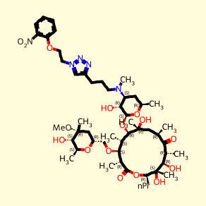 CCC[C@H]1OC(=O)[C@H](C)[C@@H](OC[C@H]2C[C@@](C)(OC)[C@@H](O)[C@H](C)O2)[C@H](C)[C@@H](O[C@@H]2O[C@H](C)C[C@H](N(C)CCCc3cn(CCOc4ccccc4[N+](=O)[O-])nn3)[C@H]2O)[C@](C)(O)C[C@@H](C)C(=O)[C@H](C)[C@@H](O)[C@]1(C)O